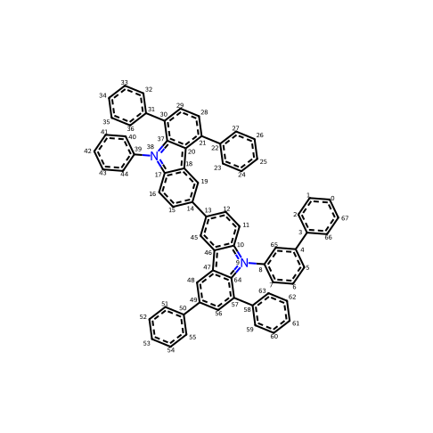 c1ccc(-c2cccc(-n3c4ccc(-c5ccc6c(c5)c5c(-c7ccccc7)ccc(-c7ccccc7)c5n6-c5ccccc5)cc4c4cc(-c5ccccc5)cc(-c5ccccc5)c43)c2)cc1